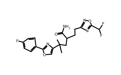 CC(C)(CC(CCc1noc(C(F)F)n1)C(N)=O)c1coc(-c2ccc(F)cc2)n1